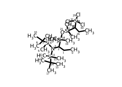 CCC(N([Si](C)(C)C(C)(C)C)[Si](C)(C)C(C)(C)C)[Si](C)(C)O[Si](C)(C)C(CC)[Si](Cl)(Cl)Cl